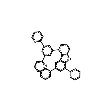 c1ccc(-c2cc(-c3ccccc3)c3oc4cccc(-c5cc(-c6ccccn6)nc(-c6ccccn6)c5)c4c3c2)cc1